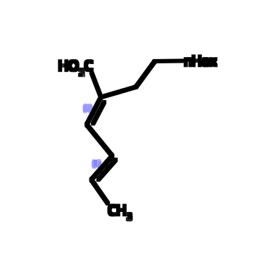 C/C=C/C=C(\CCCCCCCC)C(=O)O